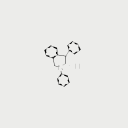 C[C@H]1C(c2ccccc2)c2ccccc2CN1c1ccccc1